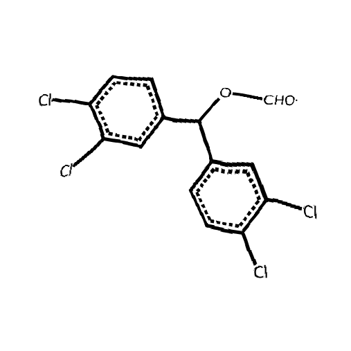 O=[C]OC(c1ccc(Cl)c(Cl)c1)c1ccc(Cl)c(Cl)c1